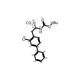 CC(C)(C)OC(=O)N[C@@H](Cc1ccc(-c2ccccc2)cc1Cl)C(=O)O